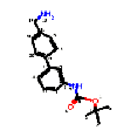 CC(C)(C)OC(=O)Nc1cccc(-c2ccc(CN)cc2)c1